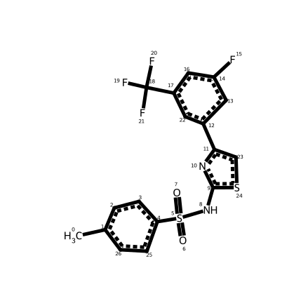 Cc1ccc(S(=O)(=O)Nc2nc(-c3cc(F)cc(C(F)(F)F)c3)cs2)cc1